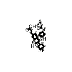 CN(C)CC(=O)N(C)c1ccc(NC(=C2C(=O)Nc3cc(F)ccc32)c2ccc(CCC(=O)O)cc2)cc1